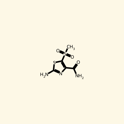 CS(=O)(=O)c1sc(N)nc1C(N)=O